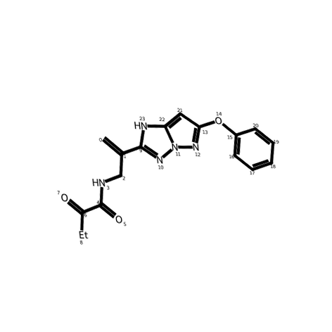 C=C(CNC(=O)C(=O)CC)c1nn2nc(Oc3ccccc3)cc2[nH]1